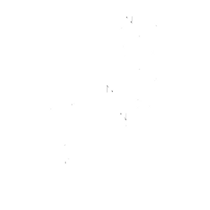 CC(C)(N)CC(C)(C)c1nc(-c2cccc(Cl)c2)no1